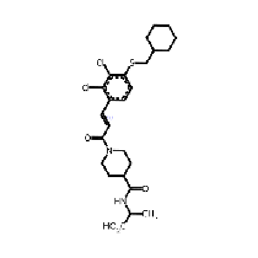 CC(NC(=O)C1CCN(C(=O)/C=C/c2ccc(SCC3CCCCC3)c(Cl)c2Cl)CC1)C(=O)O